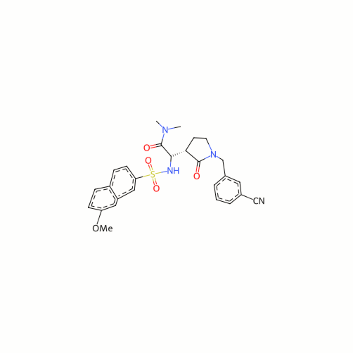 COc1ccc2ccc(S(=O)(=O)NC(C(=O)N(C)C)[C@@H]3CCN(Cc4cccc(C#N)c4)C3=O)cc2c1